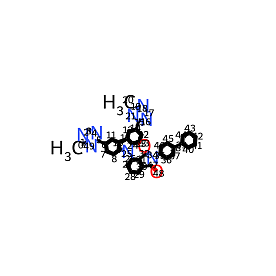 Cc1ncnc(-c2ccc3c(c2)c2cc(-c4ncnc(C)n4)ccc2n3-c2cccc3c2C(=O)N(c2ccc(-c4ccccc4)cc2)C3=O)n1